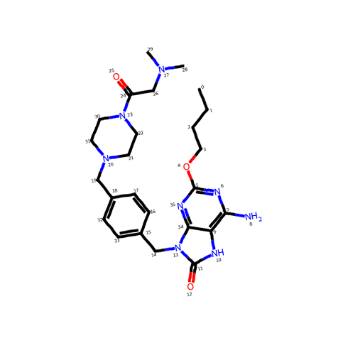 CCCCOc1nc(N)c2[nH]c(=O)n(Cc3ccc(CN4CCN(C(=O)CN(C)C)CC4)cc3)c2n1